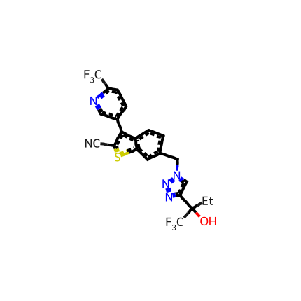 CCC(O)(c1cn(Cc2ccc3c(-c4ccc(C(F)(F)F)nc4)c(C#N)sc3c2)nn1)C(F)(F)F